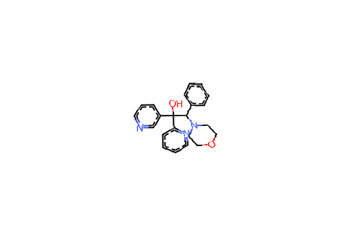 OC(c1cccnc1)(c1ccccn1)C(c1ccccc1)N1CCOCC1